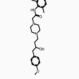 COc1ccc(CC(O)CCN2CCN(CC(=O)Nc3c(C)cccc3C)CC2)cc1